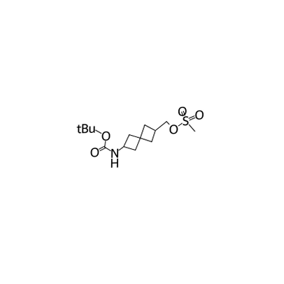 CC(C)(C)OC(=O)NC1CC2(CC(COS(C)(=O)=O)C2)C1